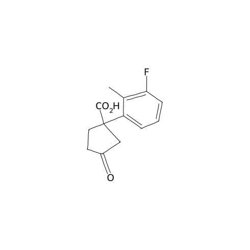 Cc1c(F)cccc1C1(C(=O)O)CCC(=O)C1